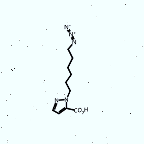 [N-]=[N+]=NCCCCCCn1nccc1C(=O)O